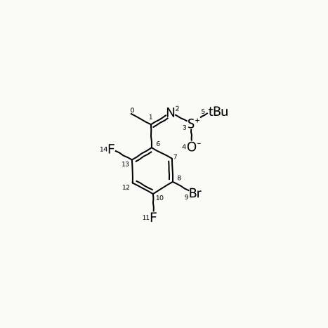 C/C(=N/[S+]([O-])C(C)(C)C)c1cc(Br)c(F)cc1F